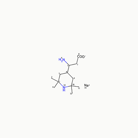 CC1(C)CC(C(N)CC(=O)[O-])CC(C)(C)N1.[Na+]